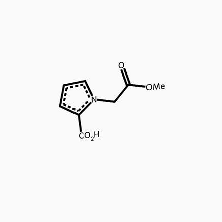 COC(=O)Cn1cccc1C(=O)O